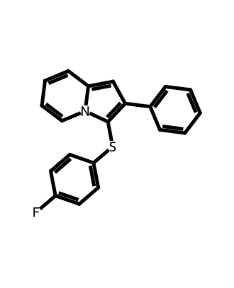 Fc1ccc(Sc2c(-c3ccccc3)cc3ccccn23)cc1